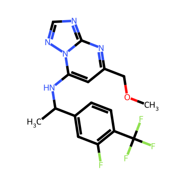 COCc1cc(NC(C)c2ccc(C(F)(F)F)c(F)c2)n2ncnc2n1